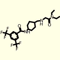 CCN(CC)C(=O)CNCC1CCC(NC(=O)c2cc(C(F)(F)F)cc(C(F)(F)F)c2)CC1